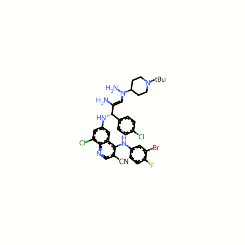 CC(C)(C)N1CCC(N(N)/C=C(\N)[C@@H](Nc2cc(Cl)c3ncc(C#N)c(Nc4ccc(F)c(Br)c4)c3c2)c2ccc(Cl)cc2)CC1